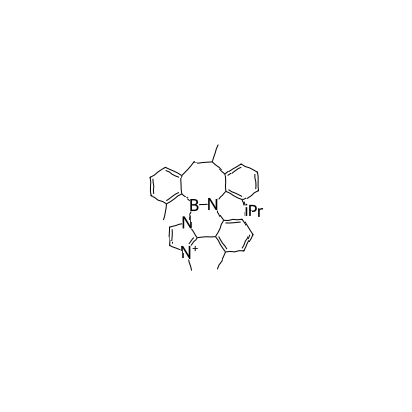 Cc1cccc2c1B1N(c3cccc(C)c3-c3n1cc[n+]3C)c1c(C(C)C)cccc1C(C)C2